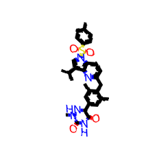 Cc1ccc(S(=O)(=O)n2cc(C(C)C)c3nc(Cc4c(C)cc(C5NN(C)C(=O)NC5=O)cc4C)ccc32)cc1